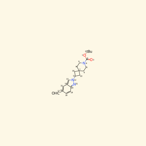 CC(C)(C)OC(=O)N1CCC2(CC1)CC(n1cc3cc(C=O)ccc3n1)C2